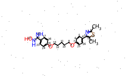 Cc1nc(-c2ccc(OCCCCCOc3ccc(C(=N)NO)cc3)cc2)c(C)s1